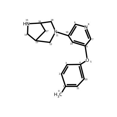 Cc1ccc(Oc2cncc(N3CC4CNC(C4)C3)c2)cc1